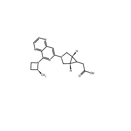 C[C@H]1CCN1c1nc(N2C[C@@H]3C(CC(=O)O)[C@@H]3C2)cc2nccnc12